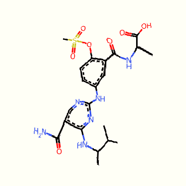 CC(NC(=O)c1cc(Nc2ncc(C(N)=O)c(NC(C)C(C)C)n2)ccc1OS(C)(=O)=O)C(=O)O